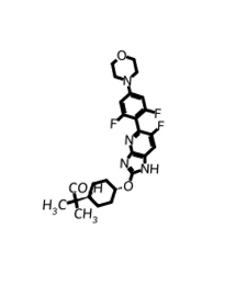 CC(C)(C(=O)O)[C@H]1CC[C@H](Oc2nc3nc(-c4c(F)cc(N5CCOCC5)cc4F)c(F)cc3[nH]2)CC1